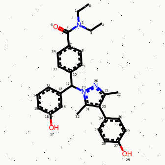 CCN(CC)C(=O)c1ccc(C(c2cccc(O)c2)n2nc(C)c(-c3ccc(O)cc3)c2C)cc1